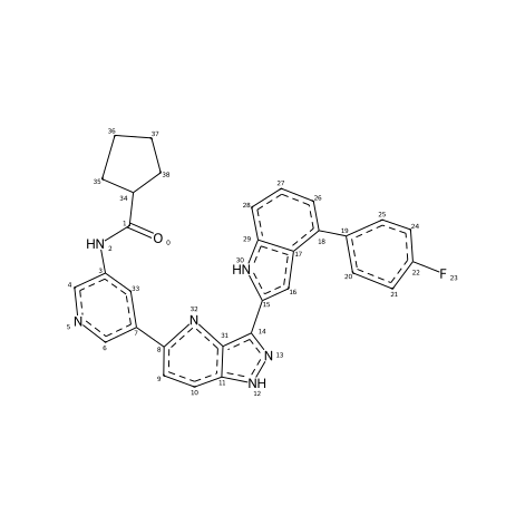 O=C(Nc1cncc(-c2ccc3[nH]nc(-c4cc5c(-c6ccc(F)cc6)cccc5[nH]4)c3n2)c1)C1CCCC1